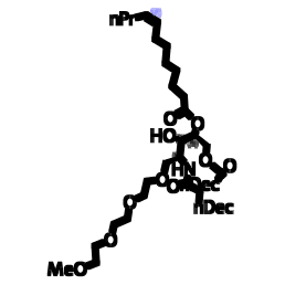 CCC/C=C\CCCCCCC(=O)O[C@@H](COC(=O)CCCCCCCCCC)[C@H](O)[C@H](COCCOCCOCCOC)NC(=O)CCCCCCCCCCC